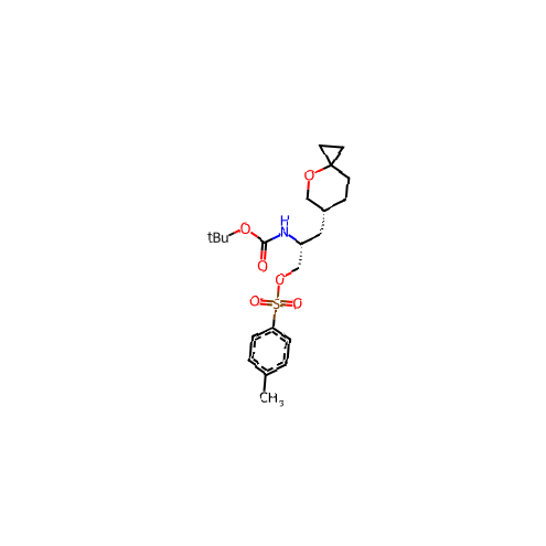 Cc1ccc(S(=O)(=O)OC[C@@H](C[C@H]2CCC3(CC3)OC2)NC(=O)OC(C)(C)C)cc1